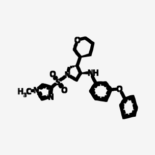 Cn1cnc(S(=O)(=O)N2C[C@H]([C@@H]3CCCOC3)[C@@H](Nc3cccc(Oc4ccccc4)c3)C2)c1